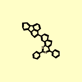 c1ccc(-c2nc(-c3ccccc3)c3ccc4ccc(-c5ccc6c7c(cccc57)-c5ccccc5-6)cc4c3n2)cc1